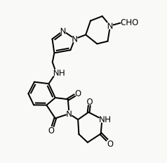 O=CN1CCC(n2cc(CNc3cccc4c3C(=O)N(C3CCC(=O)NC3=O)C4=O)cn2)CC1